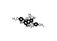 Cc1ccc(Nc2cc(Br)c(N)c3c2C(=O)c2c(N)cc(Br)c(Nc4ccc(C)cc4)c2C3=O)cc1